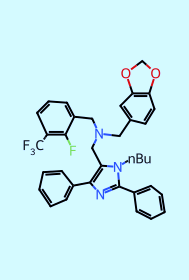 CCCCn1c(-c2ccccc2)nc(-c2ccccc2)c1CN(Cc1ccc2c(c1)OCO2)Cc1cccc(C(F)(F)F)c1F